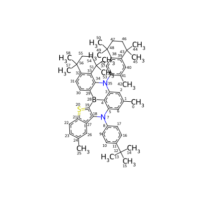 Cc1cc2c3c(c1)N(c1ccc(C(C)(C)C)cc1)c1c(sc4ccc(C)cc14)B3c1ccc3c(c1N2c1cc2c(cc1C)C(C)(C)CCC2(C)C)C(C)(C)CCC3(C)C